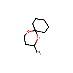 CC1CCOC2(CCCCC2)O1